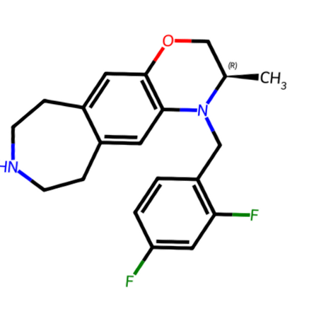 C[C@@H]1COc2cc3c(cc2N1Cc1ccc(F)cc1F)CCNCC3